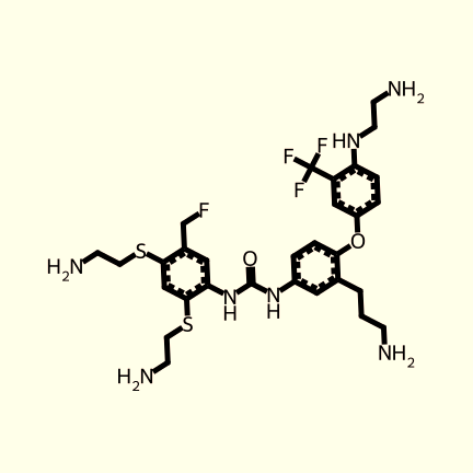 NCCCc1cc(NC(=O)Nc2cc(CF)c(SCCN)cc2SCCN)ccc1Oc1ccc(NCCN)c(C(F)(F)F)c1